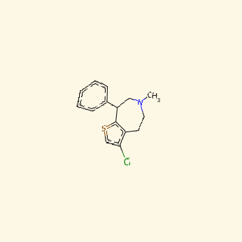 CN1CCc2c(Cl)csc2C(c2ccccc2)C1